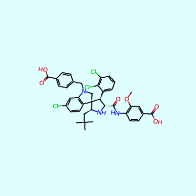 COc1cc(C(=O)O)ccc1NC(=O)[C@@H]1N[C@@H](CC(C)(C)C)[C@@]2(CN(Cc3ccc(C(=O)O)cc3)c3cc(Cl)ccc32)[C@H]1c1cccc(Cl)c1Cl